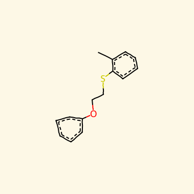 Cc1ccccc1SCCOc1ccccc1